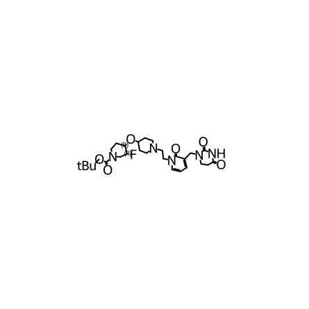 CC(C)(C)OC(=O)N1CC[C@@H](OC2CCN(CCn3cccc(CN4CCC(=O)NC4=O)c3=O)CC2)[C@H](F)C1